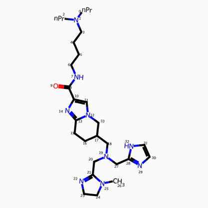 CCCN(CCC)CCCCNC(=O)c1cn2c(n1)CCC(CN(CC1=NCCN1C)Cc1ncc[nH]1)C2